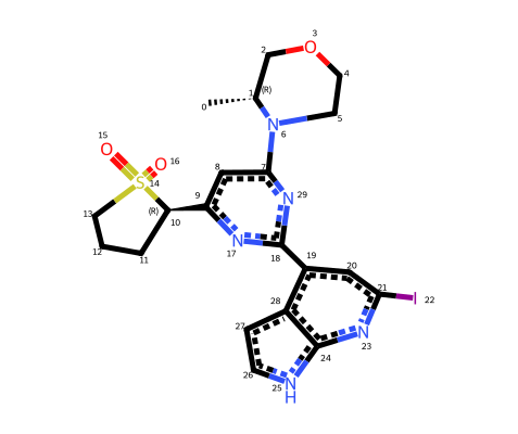 C[C@@H]1COCCN1c1cc([C@H]2CCCS2(=O)=O)nc(-c2cc(I)nc3[nH]ccc23)n1